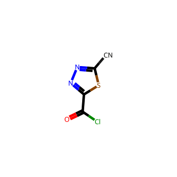 N#Cc1nnc(C(=O)Cl)s1